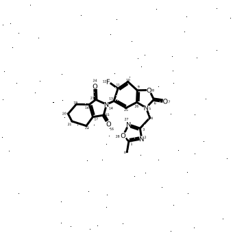 Cc1nc(Cn2c(=O)oc3cc(F)c(N4C(=O)C5=C(CCCC5)C4=O)cc32)no1